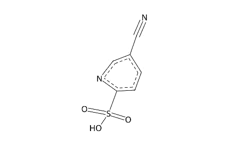 N#Cc1ccc(S(=O)(=O)O)nc1